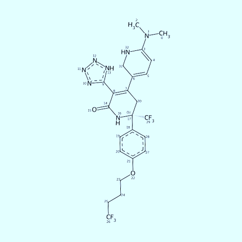 CN(C)C1=CC=C(C2=C(c3nnn[nH]3)C(=O)N[C@@](c3ccc(OCCCC(F)(F)F)cc3)(C(F)(F)F)C2)CN1